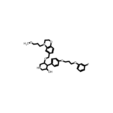 COCCCN1CCOc2ccc(COC3CNCC(O)C3c3ccc(OCCCOc4cccc(F)c4)cc3)cc21